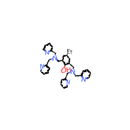 CCc1cc(CN(Cc2ccccn2)Cc2ccccn2)c(O)c(CN(Cc2ccccn2)Cc2ccccn2)c1